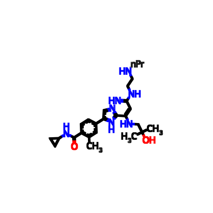 CCCNCCNC(=N)/C=C(/NCC(C)(C)O)c1ncc(-c2ccc(C(=O)NC3CC3)c(C)c2)[nH]1